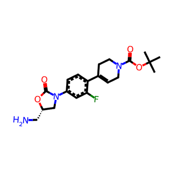 CC(C)(C)OC(=O)N1CC=C(c2ccc(N3C[C@H](CN)OC3=O)cc2F)CC1